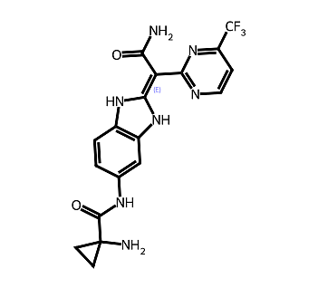 NC(=O)/C(=C1\Nc2ccc(NC(=O)C3(N)CC3)cc2N1)c1nccc(C(F)(F)F)n1